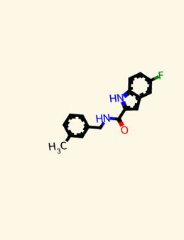 Cc1cccc(CNC(=O)c2cc3cc(F)ccc3[nH]2)c1